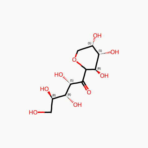 O=C(C1OC[C@H](O)[C@H](O)[C@H]1O)[C@@H](O)[C@H](O)[C@H](O)CO